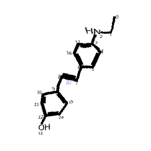 CCNc1ccc(/C=C/c2ccc(O)cc2)cc1